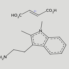 Cc1c(CCN)c2ccccc2n1C.O=C(O)/C=C/C(=O)O